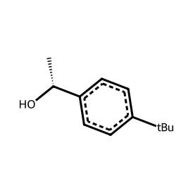 C[C@@H](O)c1ccc(C(C)(C)C)cc1